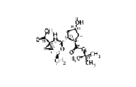 C=C[C@@H]1C[C@]1(NC(=O)[C@@H]1C[C@@H](O)CN1C(=O)OC(C)(C)C)C(=O)O